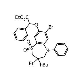 CCCCC1(CC)CN(c2ccccc2)c2cc(Br)c(OC(C(=O)OCC)c3ccccc3)cc2S(=O)(=O)C1